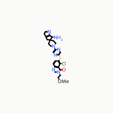 COCCn1cnc2ccc(Sc3cnc(N4CCC5(CC4)CC4=C(N=CC4)[C@H]5N)cn3)c(Cl)c2c1=O